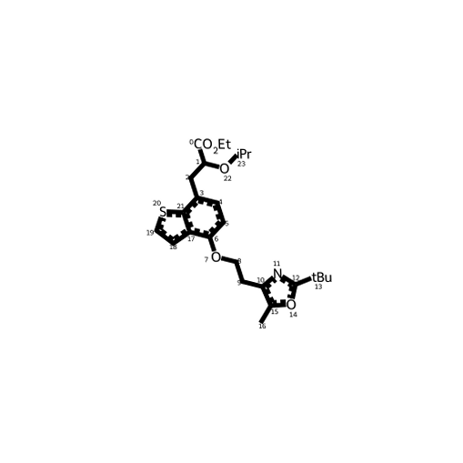 CCOC(=O)C(Cc1ccc(OCCc2nc(C(C)(C)C)oc2C)c2ccsc12)OC(C)C